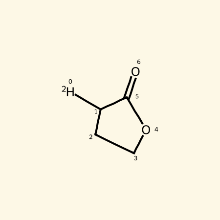 [2H]C1CCOC1=O